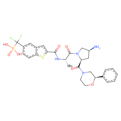 CC(C)(C)[C@H](NC(=O)c1cc2cc(C(F)(F)P(=O)(O)O)ccc2s1)C(=O)N1C[C@@H](N)C[C@H]1C(=O)N1CCO[C@H](c2ccccc2)C1